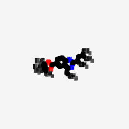 CCc1nc(C(C)CC(C)C)nc2ccc(C3OC(C)(C)C(C)(C)O3)cc12